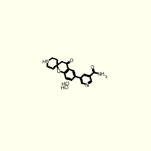 Cl.Cl.NC(=O)c1cncc(-c2ccc3c(c2)C(=O)CC2(CCNCC2)O3)c1